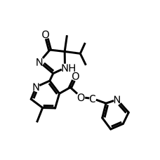 Cc1cnc(C2=NC(=O)C(C)(C(C)C)N2)c(C(=O)OCc2ccccn2)c1